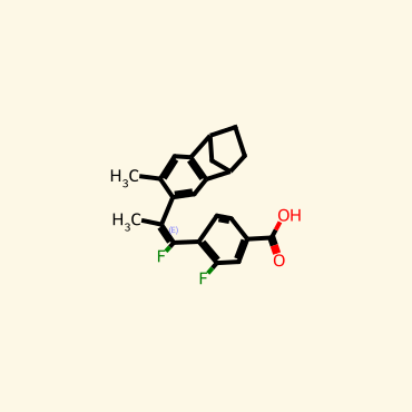 C/C(=C(\F)c1ccc(C(=O)O)cc1F)c1cc2c(cc1C)C1CCC2C1